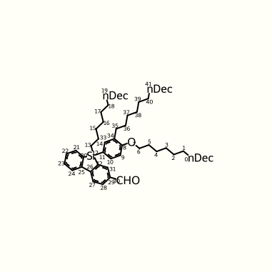 CCCCCCCCCCCCCCCCOc1ccc([Si]2(CCCCCCCCCCCCCCCC)c3ccccc3-c3ccc(C=O)cc32)cc1CCCCCCCCCCCCCCCC